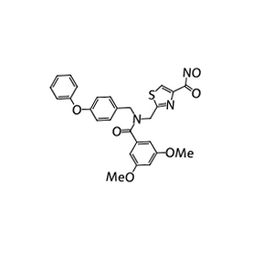 COc1cc(OC)cc(C(=O)N(Cc2ccc(Oc3ccccc3)cc2)Cc2nc(C(=O)N=O)cs2)c1